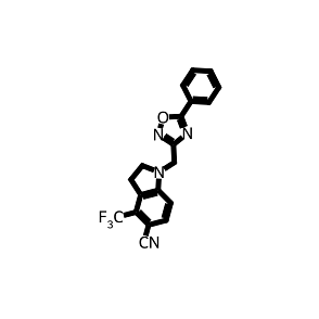 N#Cc1ccc2c(c1C(F)(F)F)CCN2Cc1noc(-c2ccccc2)n1